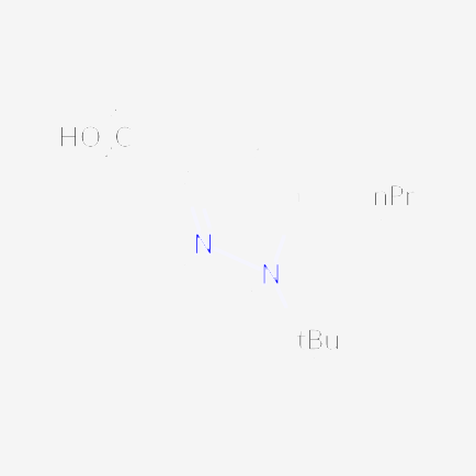 CCCC1CC(C(=O)O)=NN1C(C)(C)C